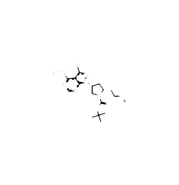 COCC[C@H]1C[C@H](n2nc(I)c3c(N)ncnc32)CN1C(=O)OC(C)(C)C